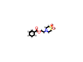 O=C(OCCN1CCS(=O)(=O)CC1)C1C=CCCC1